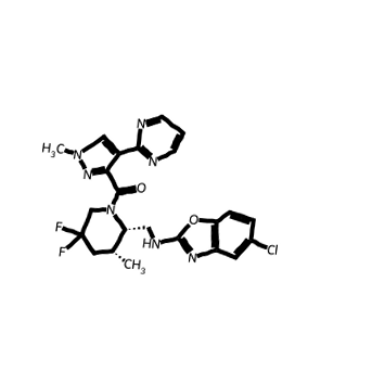 C[C@@H]1CC(F)(F)CN(C(=O)c2nn(C)cc2-c2ncccn2)[C@@H]1CNc1nc2cc(Cl)ccc2o1